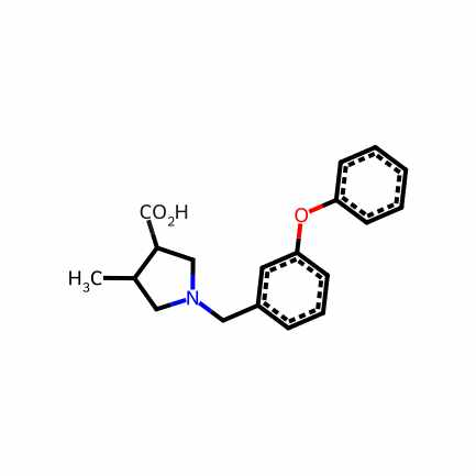 CC1CN(Cc2cccc(Oc3ccccc3)c2)CC1C(=O)O